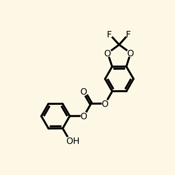 O=C(Oc1ccc2c(c1)OC(F)(F)O2)Oc1ccccc1O